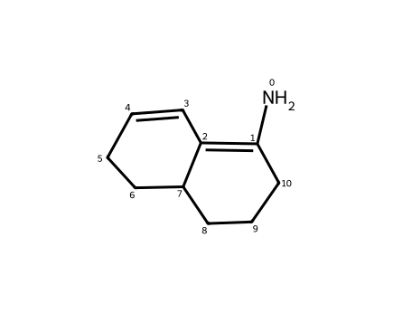 NC1=C2C=CCCC2CCC1